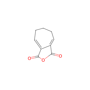 O=C1OC(=O)C2=CCCCC=C12